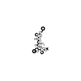 CC(C)(C)OC(=O)[C@@H]1CCCN1C(=O)C(O)C(Cc1ccccc1)NC(=O)[C@@H](N)CC(=O)NC(=O)[C@@H]1CCCN1C(=O)OCc1ccccc1